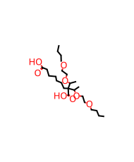 CCCCOCCOC(C)C(CCCCCCC(=O)O)(C(=O)O)C(C)OCCOCCCC